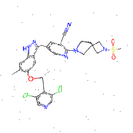 Cc1cc2[nH]nc(-c3cnc(N4CC5(C4)CN(S(C)(=O)=O)C5)c(C#N)c3)c2cc1O[C@H](C)c1c(Cl)cncc1Cl